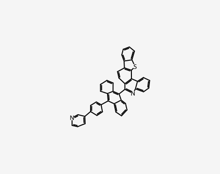 c1cncc(-c2ccc(-c3c4ccccc4c(-c4nc5ccccc5c5c4ccc4c6ccccc6sc45)c4ccccc34)cc2)c1